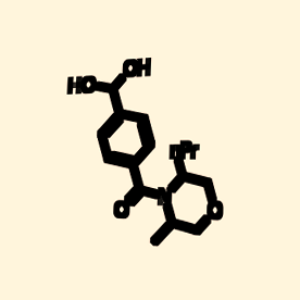 CCCC1COCC(C)N1C(=O)c1ccc(C(O)O)cc1